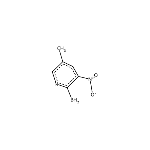 Bc1ncc(C)cc1[N+](=O)[O-]